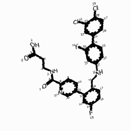 O=C(O)CCNC(=O)c1ccc(-c2cc(F)ccc2CNc2ccc(-c3ccc(Cl)c(Cl)c3)c(F)c2)cn1